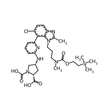 Cc1nc2ccc(Cl)c(-c3cccc(N[C@H]4C[C@@H](C(=O)O)N(C(=O)O)C4)n3)c2n1CCCN(C)C(=O)OCC[Si](C)(C)C